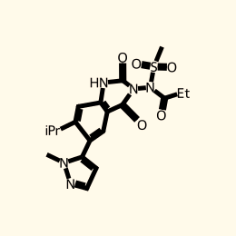 CCC(=O)N(n1c(=O)[nH]c2cc(C(C)C)c(-c3ccnn3C)cc2c1=O)S(C)(=O)=O